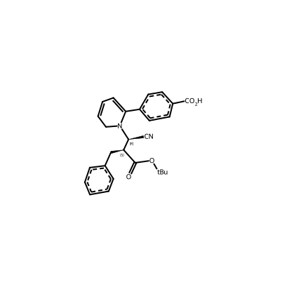 CC(C)(C)OC(=O)[C@@H](Cc1ccccc1)[C@H](C#N)N1CC=CC=C1c1ccc(C(=O)O)cc1